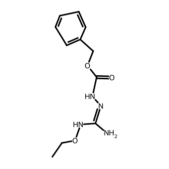 CCONC(N)=NNC(=O)OCc1ccccc1